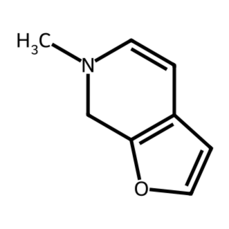 CN1C=Cc2ccoc2C1